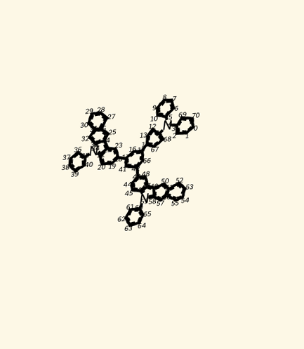 c1ccc(N(c2ccccc2)c2ccc(-c3cc(-c4ccc5c(c4)c4cc6ccccc6cc4n5-c4ccccc4)cc(-c4ccc5c(c4)c4cc6ccccc6cc4n5-c4ccccc4)c3)cc2)cc1